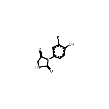 O=C1CNC(=O)N1c1ccc(O)c(F)c1